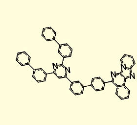 c1ccc(-c2cccc(-c3cc(-c4cccc(-c5ccc(-c6nc7c(nc8ccccn87)c7ccccc67)cc5)c4)nc(-c4cccc(-c5ccccc5)c4)n3)c2)cc1